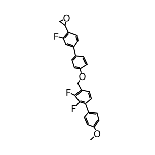 COc1ccc(-c2ccc(COc3ccc(-c4ccc(C5CO5)c(F)c4)cc3)c(F)c2F)cc1